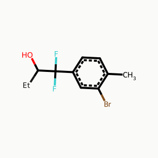 CCC(O)C(F)(F)c1ccc(C)c(Br)c1